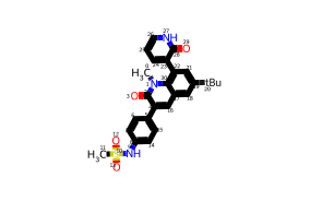 Cn1c(=O)c(-c2ccc(NS(C)(=O)=O)cc2)cc2cc(C(C)(C)C)cc(-c3ccc[nH]c3=O)c21